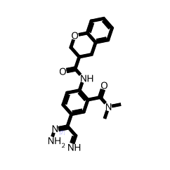 CN(C)C(=O)c1cc(/C(C=N)=N/N)ccc1NC(=O)C1COc2ccccc2C1